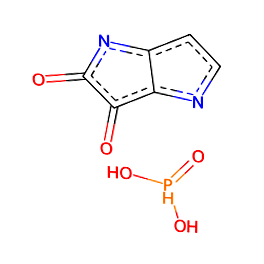 O=[PH](O)O.O=c1nc2ccnc-2c1=O